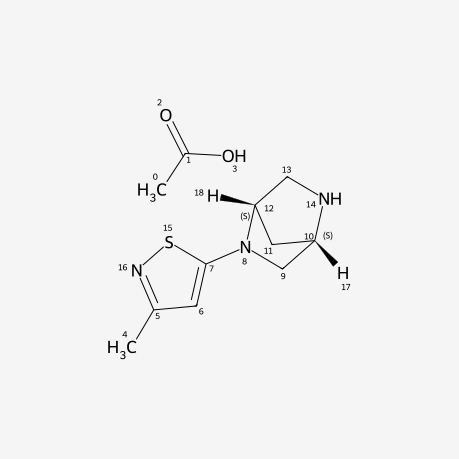 CC(=O)O.Cc1cc(N2C[C@@H]3C[C@H]2CN3)sn1